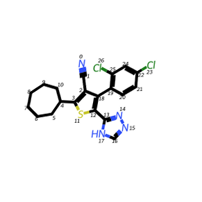 N#Cc1c(C2CCCCCC2)sc(-c2nnc[nH]2)c1-c1ccc(Cl)cc1Cl